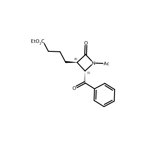 CCOC(=O)CCC[C@H]1C(=O)N(C(C)=O)[C@@H]1C(=O)c1ccccc1